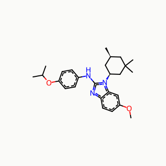 COc1ccc2nc(Nc3ccc(OC(C)C)cc3)n([C@H]3C[C@@H](C)CC(C)(C)C3)c2c1